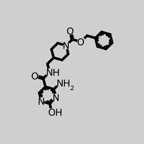 Nc1nc(O)ncc1C(=O)NCC1CCN(C(=O)OCc2ccccc2)CC1